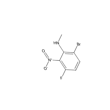 CNc1c(Br)ccc(F)c1[N+](=O)[O-]